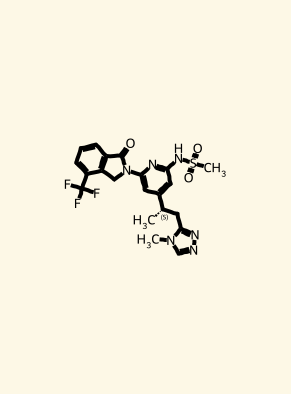 C[C@@H](Cc1nncn1C)c1cc(NS(C)(=O)=O)nc(N2Cc3c(cccc3C(F)(F)F)C2=O)c1